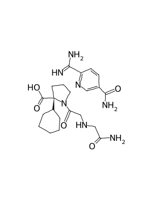 N=C(N)c1ccc(C(N)=O)cn1.NC(=O)CNCC(=O)N1CCC[C@]1(C(=O)O)C1CCCCC1